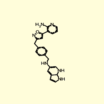 Nc1ncccc1-c1cc(Cc2ccc(CNC3=CNC4NC=CC4=C3)cc2)no1